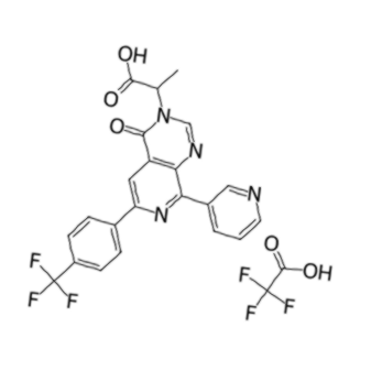 CC(C(=O)O)n1cnc2c(-c3cccnc3)nc(-c3ccc(C(F)(F)F)cc3)cc2c1=O.O=C(O)C(F)(F)F